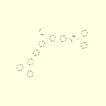 C1=CCCC(N(c2ccc(-c3ccc(C4=CCC(N5c6ccccc6Oc6ccccc65)C=C4)cc3)cc2)c2ccc(-c3ccc(-c4ccc(N5c6ccccc6Oc6ccccc65)cc4)cc3)cc2)=C1